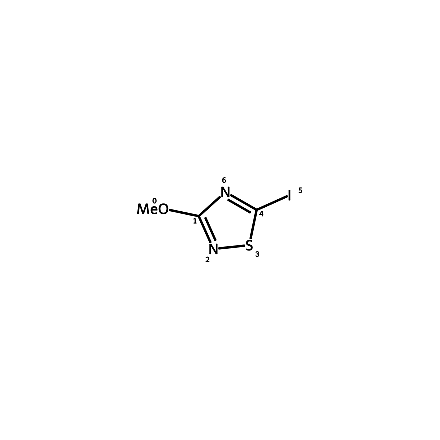 COc1nsc(I)n1